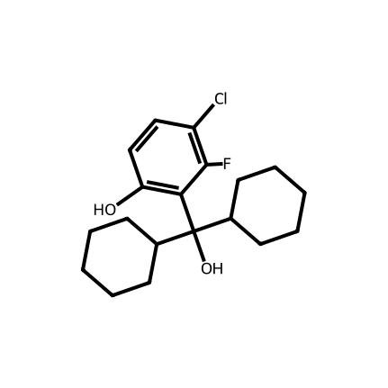 Oc1ccc(Cl)c(F)c1C(O)(C1CCCCC1)C1CCCCC1